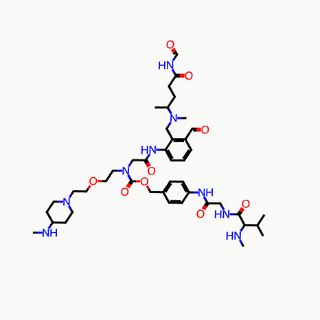 CNC1CCN(CCOCCN(CC(=O)Nc2cccc(C=O)c2CN(C)C(C)CCC(=O)NC=O)C(=O)OCc2ccc(NC(=O)CNC(=O)C(NC)C(C)C)cc2)CC1